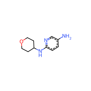 Nc1ccc(NC2CCOCC2)nc1